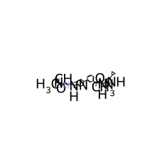 CC(C(=O)Nc1cc(C2CC2)[nH]n1)c1cccc(-c2ccc(NC/C=C/C(=O)N(C)C)cn2)c1